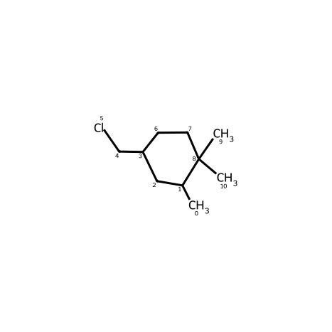 CC1CC(CCl)CCC1(C)C